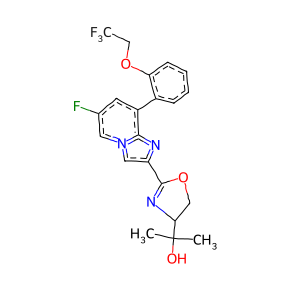 CC(C)(O)C1COC(c2cn3cc(F)cc(-c4ccccc4OCC(F)(F)F)c3n2)=N1